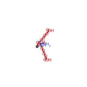 NC(=O)CC[C@@H](C(=O)NCCOCCOCCOCCOCCC(=O)O)N(CCOCCOCCOCCOCCC(=O)O)C(=O)OCc1ccccc1